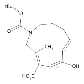 C\C1=C(C(=O)O)/C=C(O)\C=C\CCCN(C(=O)OC(C)(C)C)C1